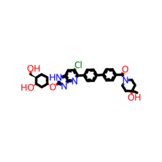 CC1(O)CCN(C(=O)c2ccc(-c3ccc(-c4nc5nc(O[C@H]6CC[C@H](CO)[C@@H](O)C6)[nH]c5cc4Cl)cc3)cc2)CC1